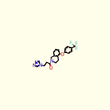 O=C(CCn1cnnc1)N1CCc2c(cccc2Oc2ccc(C(F)(F)F)cc2)C1